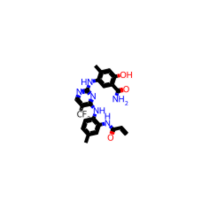 C=CC(=O)Nc1cc(C)ccc1Nc1nc(Nc2cc(C(N)=O)c(O)cc2C)ncc1C(F)(F)F